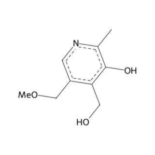 COCc1cnc(C)c(O)c1CO